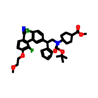 COCCOc1ccc(C#N)c(-c2cc(C(CN(C(=O)OC(C)(C)C)C3CCC(C(=O)OC)CC3)c3ccccc3)ccc2Cl)c1F